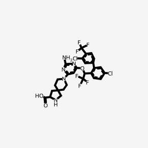 Nc1nc(OC(c2ccc(Cl)cc2-c2ccc(C(F)(F)F)c(Cl)c2)C(F)(F)F)cc(N2CCC3(CC2)CNC(C(=O)O)C3)n1